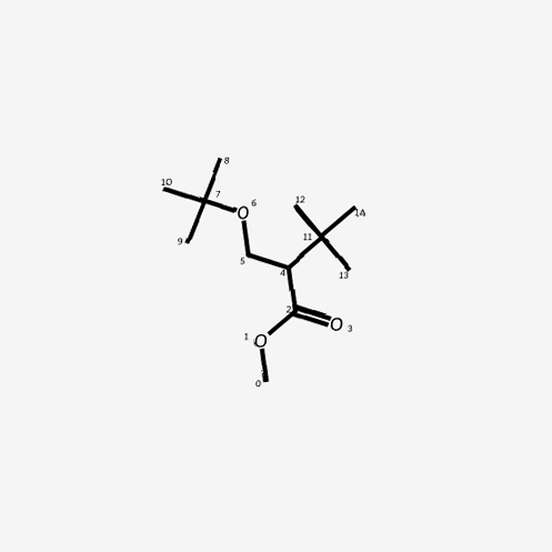 COC(=O)C(COC(C)(C)C)C(C)(C)C